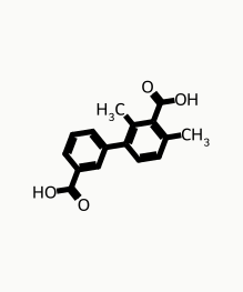 Cc1ccc(-c2cccc(C(=O)O)c2)c(C)c1C(=O)O